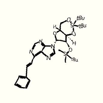 CC(C)(C)[Si](C)(C)O[C@@H]1[C@@H]2O[Si](C(C)(C)C)(C(C)(C)C)OC[C@H]2O[C@H]1n1cnc2c(C=Cc3ccccc3)ncnc21